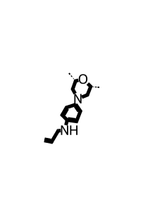 C=CCNc1ccc(N2C[C@@H](C)O[C@@H](C)C2)cc1